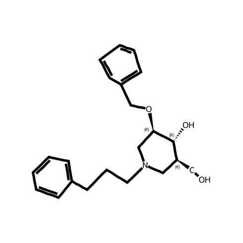 OC[C@H]1CN(CCCc2ccccc2)C[C@@H](OCc2ccccc2)[C@@H]1O